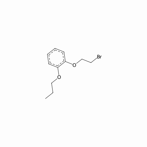 CCCOc1ccccc1OCCBr